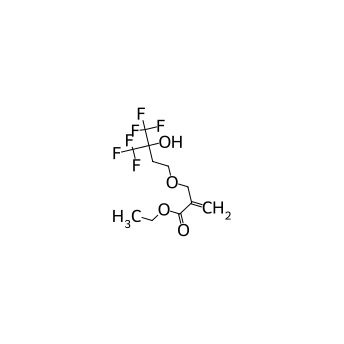 C=C(COCCC(O)(C(F)(F)F)C(F)(F)F)C(=O)OCC